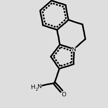 NC(=O)c1cc2n(c1)CCc1ccccc1-2